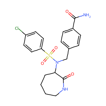 NC(=O)c1ccc(CN(C2CCCCNC2=O)S(=O)(=O)c2ccc(Cl)cc2)cc1